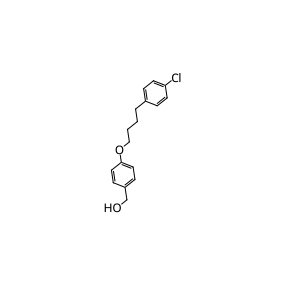 OCc1ccc(OCCCCc2ccc(Cl)cc2)cc1